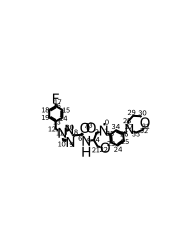 CN1C(=O)C(NC(=O)c2ncn(Cc3ccc(F)cc3)n2)COc2ccc(N3CCCOCC3)cc21